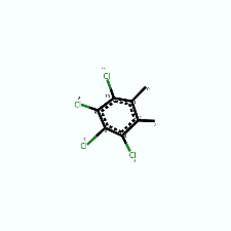 Cc1c(C)c(Cl)c(Cl)c(Cl)c1Cl